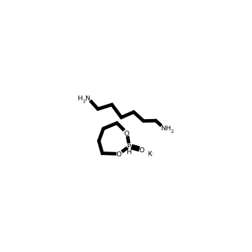 NCCCCCCN.O=[PH]1OCCCCO1.[K]